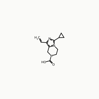 C=Cc1nc(C2CC2)n2c1CN(C(=O)O)CC2